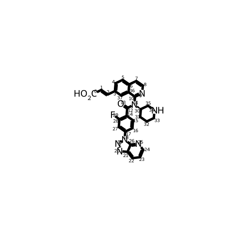 O=C(O)/C=C/c1ccc2ccnc(N(C(=O)c3ccc(-n4nnc5cccnc54)cc3F)[C@@H]3CCCNC3)c2c1